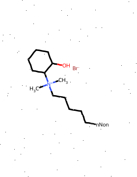 CCCCCCCCCCCCCC[N+](C)(C)C1CCCCC1O.[Br-]